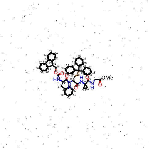 COC(=O)CNC(=O)C1(NC(=O)[C@@H](CSC(c2ccccc2)(c2ccccc2)c2ccccc2)NC(=O)[C@@H](Cc2ccccc2)NC(=O)OCC2c3ccccc3-c3ccccc32)CC1